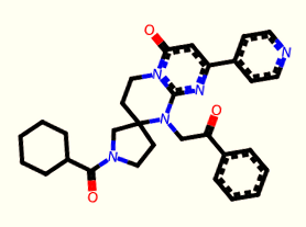 O=C(CN1c2nc(-c3ccncc3)cc(=O)n2CCC12CCN(C(=O)C1CCCCC1)C2)c1ccccc1